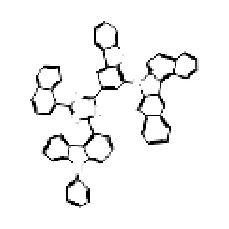 c1ccc(-n2c3ccccc3c3c(-c4nc(-c5cc(-n6c7cc8ccccc8cc7c7c8ccccc8ccc76)c6oc7ccccc7c6c5)nc(-c5cccc6ccccc56)n4)cccc32)cc1